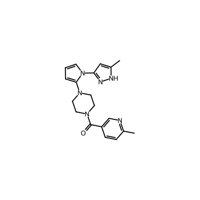 Cc1ccc(C(=O)N2CCN(c3cccn3-c3cc(C)[nH]n3)CC2)cn1